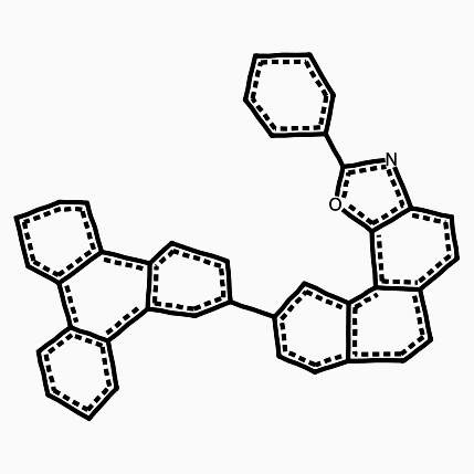 c1ccc(-c2nc3ccc4ccc5ccc(-c6ccc7c8ccccc8c8ccccc8c7c6)cc5c4c3o2)cc1